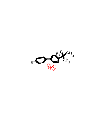 [B+2]c1ccc(-c2ccc(C(C)(C)C)cc2)cc1.[OH-].[OH-]